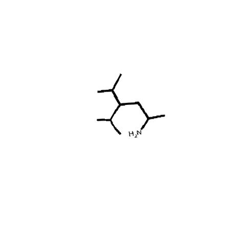 CC(N)CC(C(C)C)C(C)C